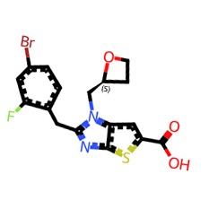 O=C(O)c1cc2c(nc(Cc3ccc(Br)cc3F)n2C[C@@H]2CCO2)s1